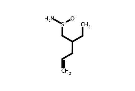 C=CCC(CC)C[S+](N)[O-]